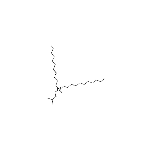 CCCCCCCCCCC[N+](C)(CCCCCCCCCCC)CCC(C)C